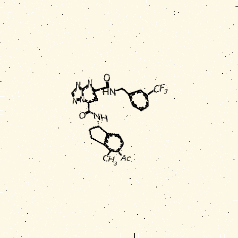 CC(=O)c1ccc2c(c1C)CC[C@@H]2NC(=O)c1cc(C(=O)NCc2cccc(C(F)(F)F)c2)nc2ncnn12